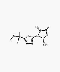 COC(C)(C)c1cnc(N2C(=O)N(C)CC2O)s1